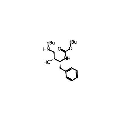 CCCCNC[C@@H](O)[C@H](Cc1ccccc1)NC(=O)OC(C)(C)C